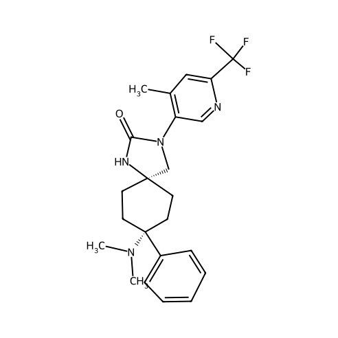 Cc1cc(C(F)(F)F)ncc1N1C[C@]2(CC[C@@](c3ccccc3)(N(C)C)CC2)NC1=O